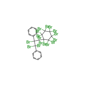 BrC(Br)(c1ccccc1)C(Br)(c1ccccc1)C(Br)(Br)C1(Br)C(Br)(Br)C(Br)(Br)C(Br)(Br)C(Br)(Br)C1(Br)Br